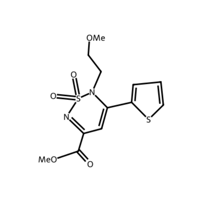 COCCN1C(c2cccs2)=CC(C(=O)OC)=NS1(=O)=O